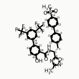 Cc1noc([C@@H](Cc2ccc(-c3ccc(S(C)(=O)=O)cc3)cc2)NC(=O)c2cc(-c3cc(C(F)(F)F)cc(C(F)(F)F)c3)ccc2O)n1